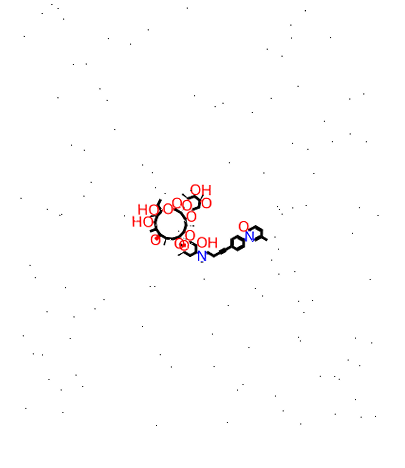 CCC1OC(=O)[C@H](C)[C@H](OC2C[C@@](C)(OC)[C@@H](O)[C@H](C)O2)[C@H](C)[C@@H](OC2O[C@H](C)C[C@H](N(C)CCC#Cc3ccc(-n4cc(C)ccc4=O)cc3)[C@H]2O)[C@@](C)(OC)C[C@@H](C)C(=O)C(C)[C@@H](O)[C@]1(C)O